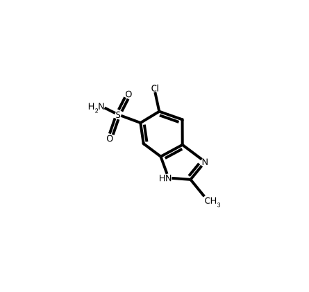 Cc1nc2cc(Cl)c(S(N)(=O)=O)cc2[nH]1